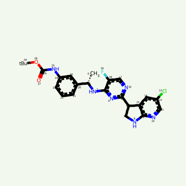 C[C@H](Nc1nc(C2CNc3ncc(Cl)cc32)ncc1F)c1cccc(NC(=O)OC(C)(C)C)c1